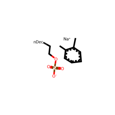 CCCCCCCCCCCCOS(=O)(=O)[O-].Cc1ccccc1C.[Na+]